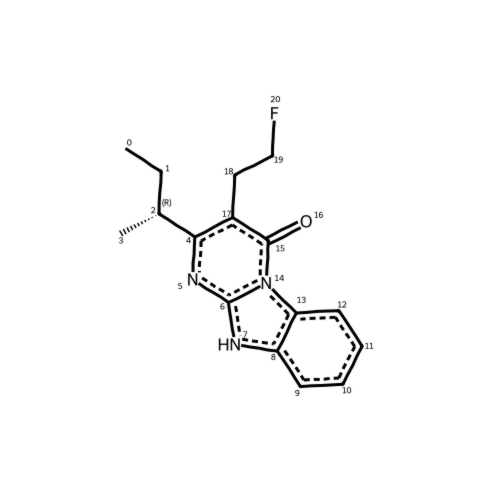 CC[C@@H](C)c1nc2[nH]c3ccccc3n2c(=O)c1CCF